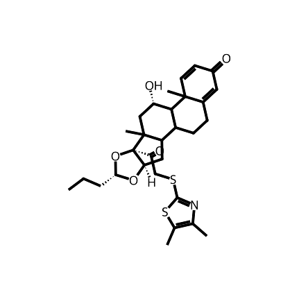 CCC[C@H]1O[C@@H]2CC3C4CCC5=CC(=O)C=CC5(C)C4[C@@H](O)CC3(C)[C@]2(C(=O)CSc2nc(C)c(C)s2)O1